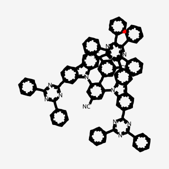 N#Cc1cc(-c2c(-n3c4cc(-c5nc(-c6ccccc6)nc(-c6ccccc6)n5)ccc4c4ccc(-c5nc(-c6ccccc6)nc(-c6ccccc6)n5)cc43)cc(C#N)cc2-n2c3cc(-c4nc(-c5ccccc5)nc(-c5ccccc5)n4)ccc3c3ccc(-c4nc(-c5ccccc5)nc(-c5ccccc5)n4)cc32)cc(C(F)(F)F)c1